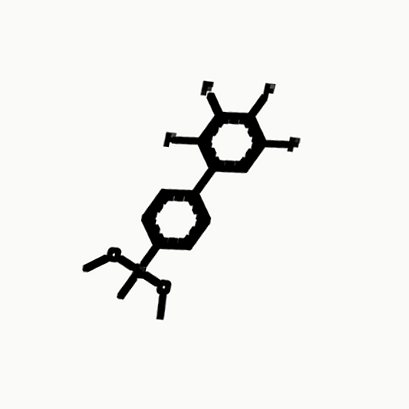 CO[Si](C)(OC)c1ccc(-c2cc(F)c(F)c(F)c2F)cc1